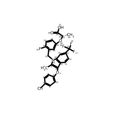 Cc1c(Oc2ccc(Cl)cc2)c2ccc(C(F)(F)F)cc2n1Cc1cc(O[C@@H](C)C(=O)O)ccc1F